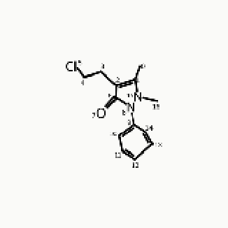 Cc1c(CCCl)c(=O)n(-c2ccccc2)n1C